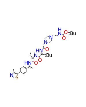 Cc1ncsc1-c1ccc([C@H](C)NC(=O)[C@@H]2CCCN2C(=O)[C@@H](NC(=O)CN2CCN(CCNC(=O)OC(C)(C)C)CC2)C(C)(C)C)cc1